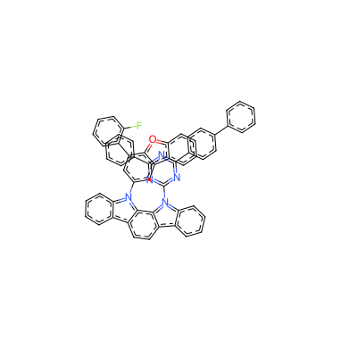 Fc1ccccc1-c1cc(-n2c3ccccc3c3ccc4c5ccccc5n(-c5nc(-c6ccccc6)nc(-c6ccc(-c7ccccc7)cc6)n5)c4c32)cc2c1oc1ccccc12